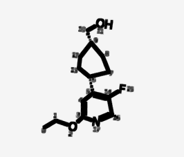 CCOc1cc([C@H]2CC[C@@H](CO)CC2)c(F)cn1